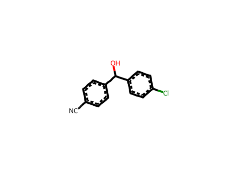 N#Cc1ccc(C(O)c2ccc(Cl)cc2)cc1